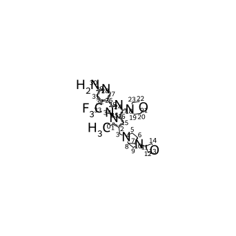 Cc1c(CN2CC3CC2CN3C2COC2)cc2c(N3CCOCC3)nc(-c3cnc(N)cc3C(F)(F)F)nn12